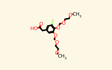 COCCOCOc1cc(CC(=O)O)cc(F)c1OCOCCOC